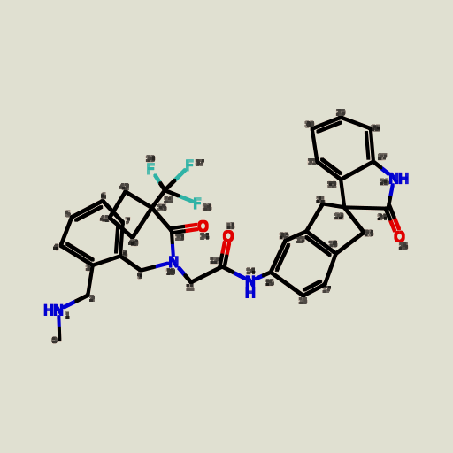 CNCc1ccccc1CN(CC(=O)Nc1ccc2c(c1)CC1(C2)C(=O)Nc2ccccc21)C(=O)C1(C(F)(F)F)CCC1